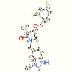 CC(=O)N1CNc2ccc(Cn3ccc(OCc4ccc(F)cc4F)c(Cl)c3=O)cc21